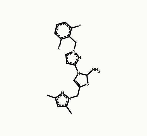 Cc1cc(C)n(CC2=CN(c3ccn(Cc4c(F)cccc4Cl)n3)C(N)S2)n1